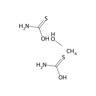 C.CO.NC(O)=S.NC(O)=S